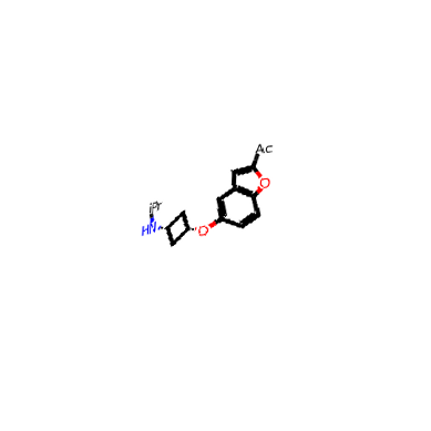 CC(=O)c1cc2cc(O[C@H]3C[C@@H](NC(C)C)C3)ccc2o1